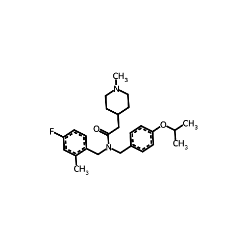 Cc1cc(F)ccc1CN(Cc1ccc(OC(C)C)cc1)C(=O)CC1CCN(C)CC1